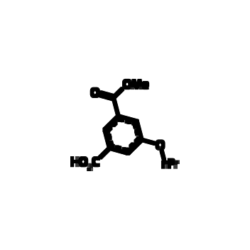 CCCOc1cc(C(=O)O)cc(C(=O)OC)c1